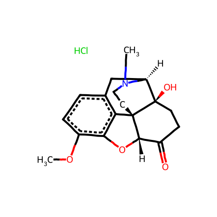 COc1ccc2c3c1O[C@H]1C(=O)CC[C@@]4(O)[C@H](C2)N(C)CC[C@]314.Cl